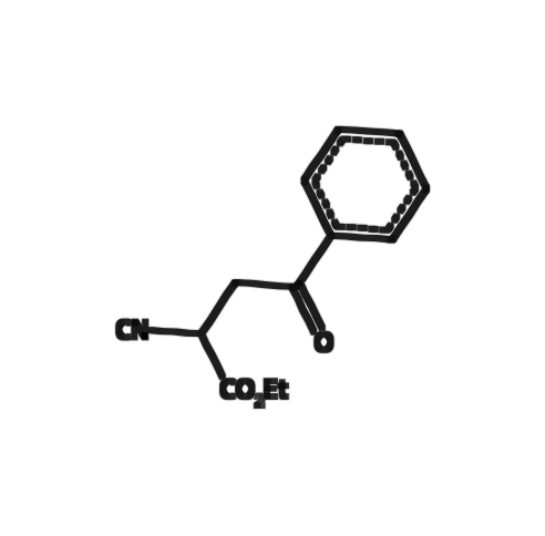 [C-]#[N+]C(CC(=O)c1ccccc1)C(=O)OCC